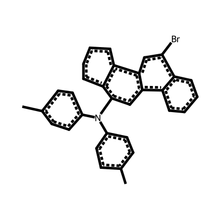 Cc1ccc(N(c2ccc(C)cc2)c2cc3c4ccccc4c(Br)cc3c3ccccc23)cc1